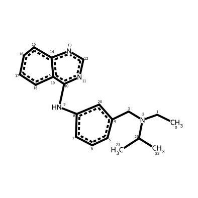 CCN(Cc1cccc(Nc2ncnc3ccccc23)c1)C(C)C